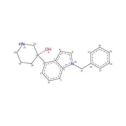 OC1(c2cccc3c2ccn3Cc2ccccc2)CCCNC1